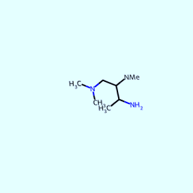 CNC(CN(C)C)C(C)N